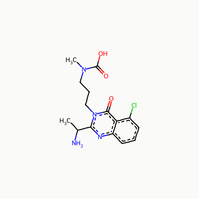 CC(N)c1nc2cccc(Cl)c2c(=O)n1CCCN(C)C(=O)O